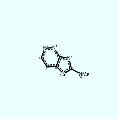 CNc1nc2nnccc2s1